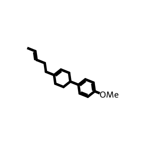 CC=CCCC1=CCC(c2ccc(OC)cc2)CC1